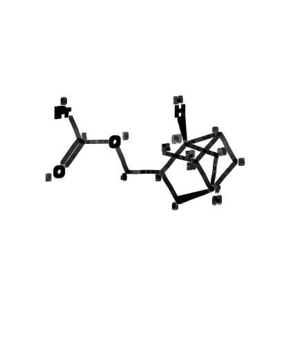 CC(C)C(=O)OCC1C[C@@]23CC(C2C)[C@@H]1C3